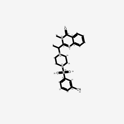 CC(c1nc2ccccc2c(=O)n1C)N1CCN(S(=O)(=O)c2cccc(C#N)c2)CC1